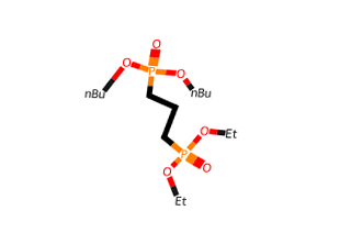 CCCCOP(=O)(CCCP(=O)(OCC)OCC)OCCCC